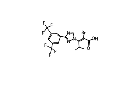 CC(C)C(=C(Br)C(=O)O)n1cnc(-c2cc(C(F)(F)F)cc(C(F)(F)F)c2)n1